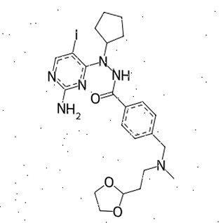 CN(CCC1OCCO1)Cc1ccc(C(=O)NN(c2nc(N)ncc2I)C2CCCC2)cc1